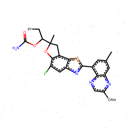 COc1cnc2c(-c3nc4cc(F)c5c(c4s3)CC(C)(C(CC(C)C)OC(N)=O)O5)cc(C)cc2n1